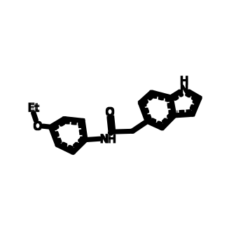 CCOc1ccc(NC(=O)Cc2ccc3[nH]ccc3c2)cc1